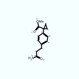 COC(=O)C1(c2ccc(CCC(N)=O)cc2)CC1